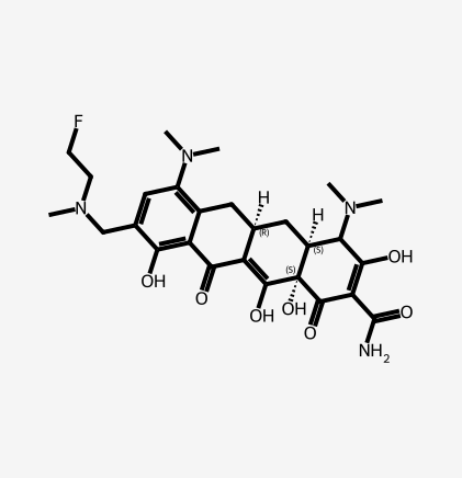 CN(CCF)Cc1cc(N(C)C)c2c(c1O)C(=O)C1=C(O)[C@]3(O)C(=O)C(C(N)=O)=C(O)C(N(C)C)[C@@H]3C[C@@H]1C2